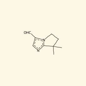 CC1(C)CCn2c(C=O)cnc21